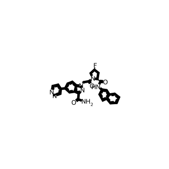 NC(=O)c1nn(CC(=O)N2C[C@H](F)C[C@H]2C(=O)Nc2ccc3ccccc3c2)c2ccc(-c3ccnnc3)cc12